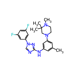 Cc1cc(Nc2ncn(-c3cc(F)cc(F)c3)n2)cc(N2CCN(C)C(C)(C)C2)c1